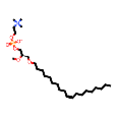 CCCCCCCC/C=C\CCCCCCCCCOC[C@H](COP(=O)([O-])OCC[N+](C)(C)C)OC